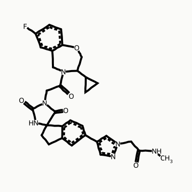 CNC(=O)Cn1cc(-c2ccc3c(c2)CCC32NC(=O)N(CC(=O)N3Cc4cc(F)ccc4OCC3C3CC3)C2=O)cn1